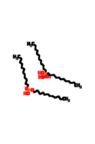 CCCCCCCCCCCCOP(O)OCCCCCCCCCCCC.CCCCCCCCCCCCP(O)(O)(O)CCCCCCCCCCCC